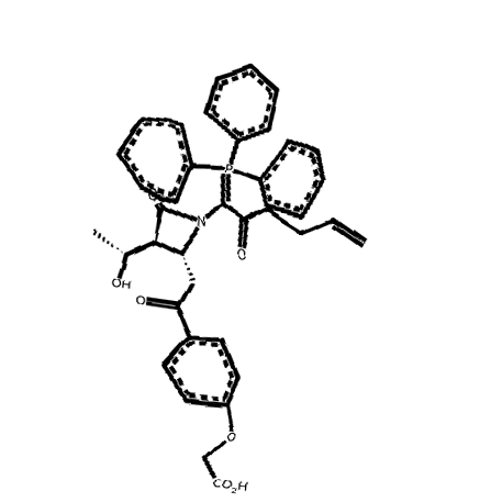 C=CCCC(=O)C(N1C(=O)[C@H]([C@@H](C)O)[C@H]1CC(=O)c1ccc(OCC(=O)O)cc1)=P(c1ccccc1)(c1ccccc1)c1ccccc1